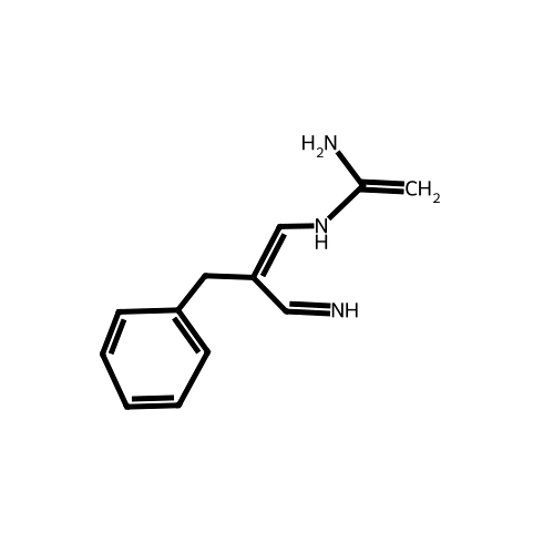 C=C(N)N/C=C(\C=N)Cc1ccccc1